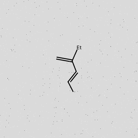 [CH2]C=CC(=C)CC